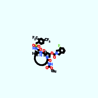 CC(C)(C)OC(=O)N[C@H]1CCCCCCC[C@@H]2C[C@@]2(C(=O)NS(=O)(=O)Cc2ccc(C(F)(F)F)cc2C(F)(F)F)NC(=O)[C@@H]2C[C@@H](OC(=O)N3Cc4cccc(F)c4C3)CN2C1=O